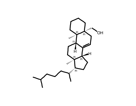 CC(C)CCCC(C)[C@H]1CC[C@H]2C3=CC[C@]4(CO)CCCC[C@]4(C)[C@H]3CC[C@]12C